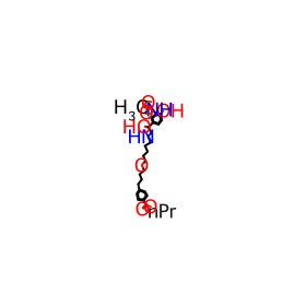 CCCOC(=O)c1ccc(CCCCOCCCCCNCC(O)c2ccc(O)c(NS(C)(=O)=O)c2)cc1